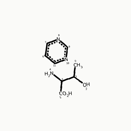 CC(O)C(N)C(=O)O.c1cncnc1